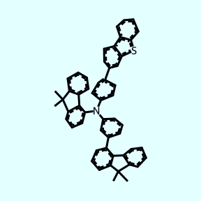 CC1(C)c2ccccc2-c2c(-c3cccc(N(c4ccc(-c5ccc6c(c5)sc5ccccc56)cc4)c4cccc5c4-c4ccccc4C5(C)C)c3)cccc21